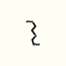 [CH2]CCCCCSCCCCCCC